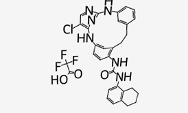 O=C(Nc1ccc2cc1CCc1cccc(c1)Nc1ncc(Cl)c(n1)N2)Nc1cccc2c1CCCC2.O=C(O)C(F)(F)F